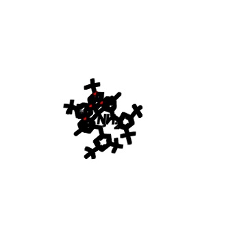 Cc1cc([C@H](C)c2cc(C(C)(C)C)cc(C(C)(C)C)c2)c(C(N)(CN)c2c([C@H](C)c3cc(C(C)(C)C)cc(C(C)(C)C)c3)cc(C)cc2[C@H](C)c2cc(C(C)(C)C)cc(C(C)(C)C)c2)c([C@H](C)c2cc(C(C)(C)C)cc(C(C)(C)C)c2)c1